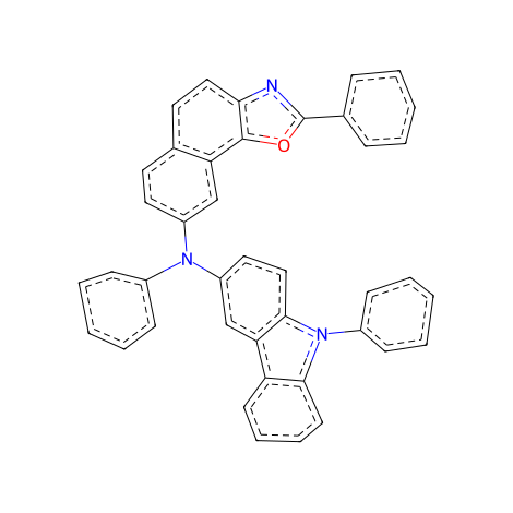 c1ccc(-c2nc3ccc4ccc(N(c5ccccc5)c5ccc6c(c5)c5ccccc5n6-c5ccccc5)cc4c3o2)cc1